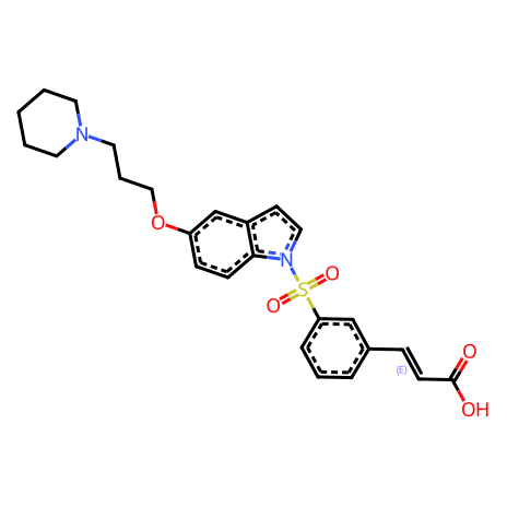 O=C(O)/C=C/c1cccc(S(=O)(=O)n2ccc3cc(OCCCN4CCCCC4)ccc32)c1